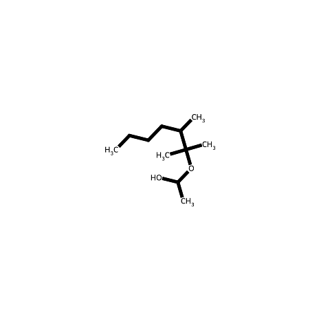 CCCCC(C)C(C)(C)OC(C)O